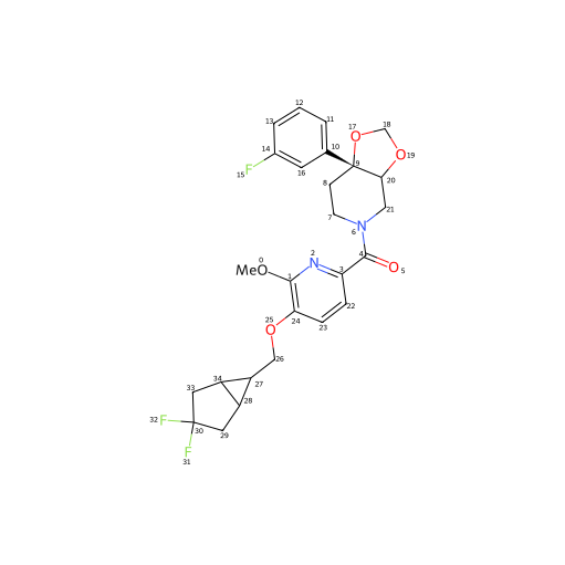 COc1nc(C(=O)N2CC[C@]3(c4cccc(F)c4)OCOC3C2)ccc1OCC1C2CC(F)(F)CC12